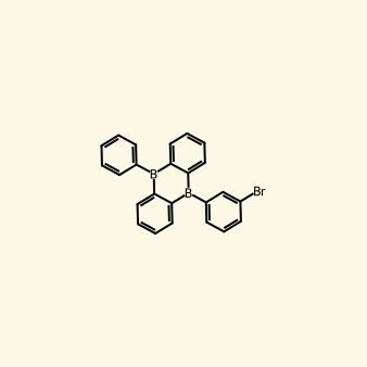 Brc1cccc(B2c3ccccc3B(c3ccccc3)c3ccccc32)c1